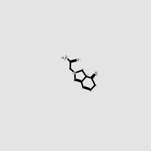 NC(=O)CN1C=C2C=CCC(=O)C2C1